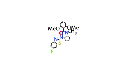 COc1cccc(OC)c1C(=O)N(C)[C@@H]1CCC[C@@H]1Nc1nc2ccc(F)cc2s1